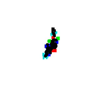 Cn1cncc1C(O)(c1ccc(C(F)(F)F)nc1)c1ccc2nc(Cl)c(OCC(C)(F)F)c(Cl)c2c1